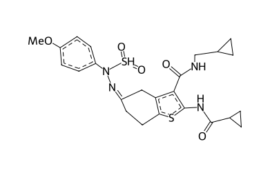 COc1ccc(N(N=C2CCc3sc(NC(=O)C4CC4)c(C(=O)NCC4CC4)c3C2)[SH](=O)=O)cc1